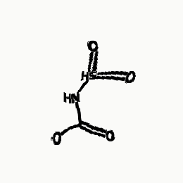 [O]C(=O)N[SH](=O)=O